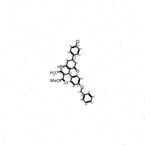 COC(=O)C1=C(C)NC2=C(C(=O)CC(c3ccc(Cl)cc3)C2)C1c1ccc(OCc2ccccc2)cc1